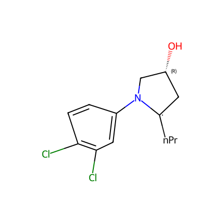 CCC[C]1C[C@@H](O)CN1c1ccc(Cl)c(Cl)c1